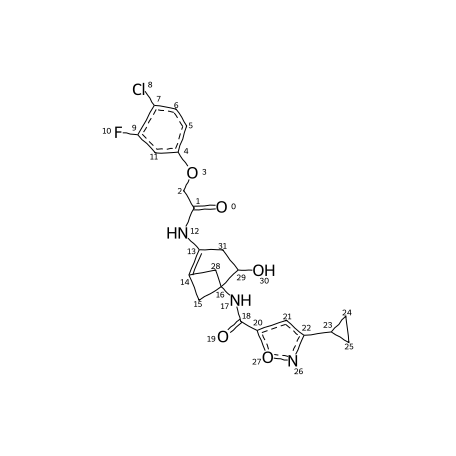 O=C(COc1ccc(Cl)c(F)c1)NC1=C2CC(NC(=O)c3cc(C4CC4)no3)(C2)C(O)C1